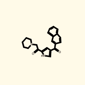 O=C(c1c[nH]c(C(=O)CN2CCCCC2)c1)c1ccc2ccccc2c1